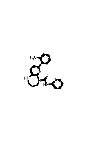 O=C(Nc1ccccn1)N1CCCNc2ccc(-c3ccccc3C(F)(F)F)nc21